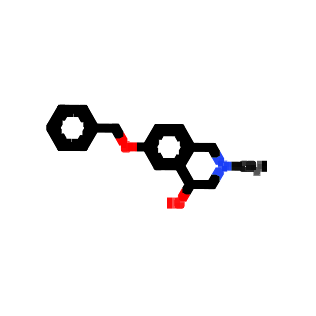 O=C(O)N1Cc2ccc(OCc3ccccc3)cc2C(O)C1